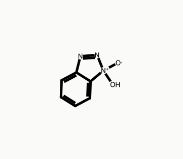 [O][N+]1(O)N=Nc2ccccc21